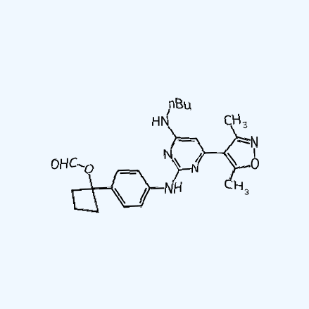 CCCCNc1cc(-c2c(C)noc2C)nc(Nc2ccc(C3(OC=O)CCC3)cc2)n1